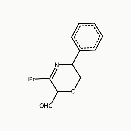 CC(C)C1=NC(c2ccccc2)COC1C=O